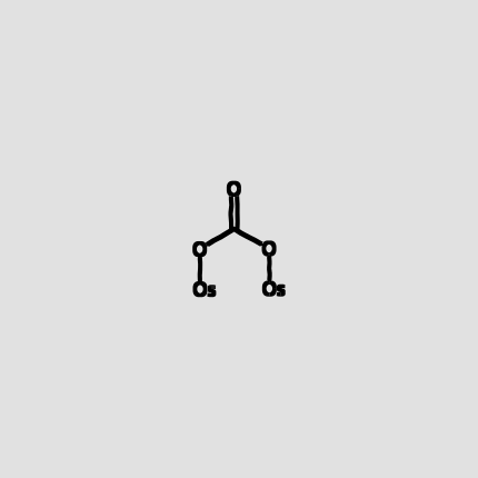 O=C([O][Os])[O][Os]